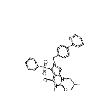 CC(C)Cn1c(=O)n(C)c(=O)c2c(S(=O)(=O)c3ccccc3)n(Cc3ccc(-c4ccccn4)cc3)nc21